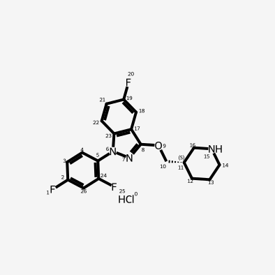 Cl.Fc1ccc(-n2nc(OC[C@H]3CCCNC3)c3cc(F)ccc32)c(F)c1